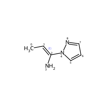 C/C=C(\N)n1cccn1